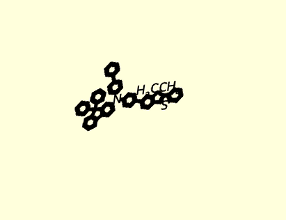 CC1(C)c2cc(-c3ccc(N(c4ccc(-c5ccccc5)cc4)c4ccc5c(c4)C(c4ccccc4)(c4ccccc4)c4ccccc4-5)cc3)ccc2-c2sc3ccccc3c21